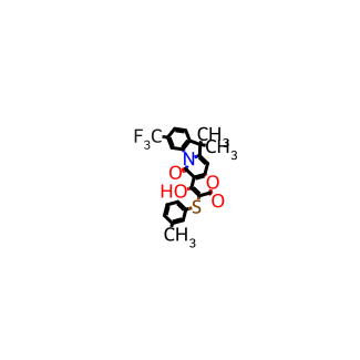 Cc1cccc(Sc2c(O)c3c(=O)n4c(cc3oc2=O)C(C)(C)c2ccc(C(F)(F)F)cc2-4)c1